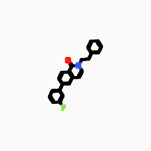 O=c1c2ccc(-c3cccc(F)c3)cc2ccn1CCc1ccccc1